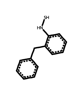 SNc1ccccc1Cc1ccccc1